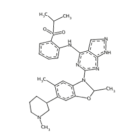 Cc1cc2c(cc1C1CCCN(C)C1)OC(C)N2c1nc(Nc2ccccc2S(=O)(=O)C(C)C)c2cn[nH]c2n1